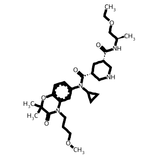 CCOC[C@@H](C)NC(=O)[C@@H]1CNC[C@H](C(=O)N(c2ccc3c(c2)N(CCCOC)C(=O)C(C)(C)O3)C2CC2)C1